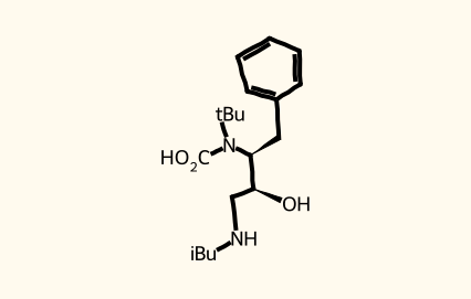 CCC(C)NC[C@H](O)[C@H](Cc1ccccc1)N(C(=O)O)C(C)(C)C